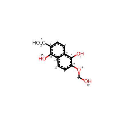 O=C(O)c1ccc2c(O)c(OCO)ccc2c1O